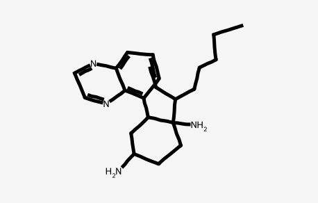 CCCCCC(CC)C1(N)CCC(N)CC1c1cccc2nccnc12